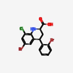 O=C(O)C1CC(c2ccccc2Br)c2cc(Br)cc(Cl)c2N1